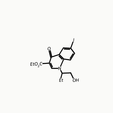 CCOC(=O)c1cn(C(CC)CO)c2ccc(I)cc2c1=O